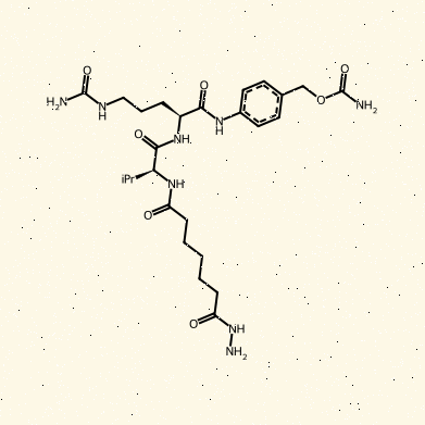 CC(C)[C@H](NC(=O)CCCCCC(=O)NN)C(=O)N[C@@H](CCCNC(N)=O)C(=O)Nc1ccc(COC(N)=O)cc1